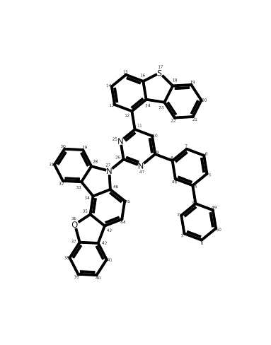 c1ccc(-c2cccc(-c3cc(-c4cccc5sc6ccccc6c45)nc(-n4c5ccccc5c5c6oc7ccccc7c6ccc54)n3)c2)cc1